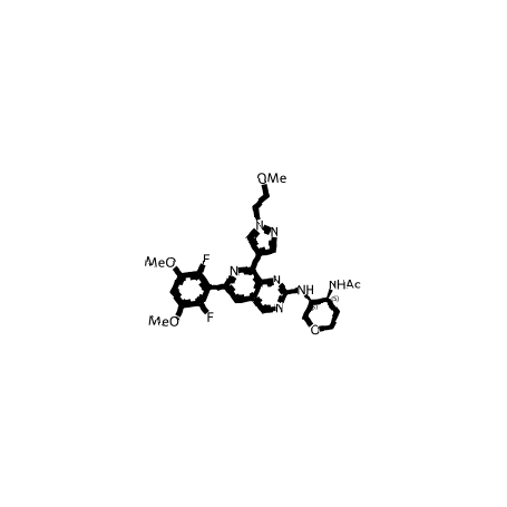 COCCn1cc(-c2nc(-c3c(F)c(OC)cc(OC)c3F)cc3cnc(N[C@@H]4COCC[C@@H]4NC(C)=O)nc23)cn1